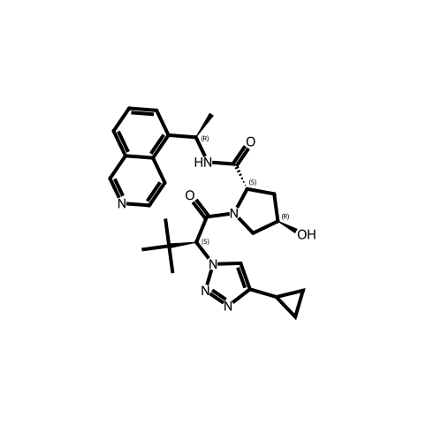 C[C@@H](NC(=O)[C@@H]1C[C@@H](O)CN1C(=O)[C@@H](n1cc(C2CC2)nn1)C(C)(C)C)c1cccc2cnccc12